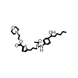 CCCCCC(O)c1ccc(NN(CCCc2ccc(C(=O)OCCN3CCOCC3)s2)C(C)=O)cc1